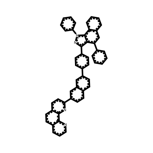 c1ccc(-c2cc3ccccc3c3c2c(-c2ccc(-c4ccc5ccc(-c6ccc7ccc8cccnc8c7n6)cc5c4)cc2)nn3-c2ccccc2)cc1